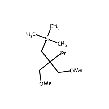 COCC(COC)(C[Si](C)(C)C)C(C)C